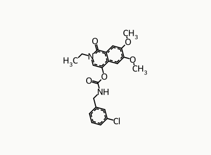 CCn1cc(OC(=O)NCc2cccc(Cl)c2)c2cc(OC)c(OC)cc2c1=O